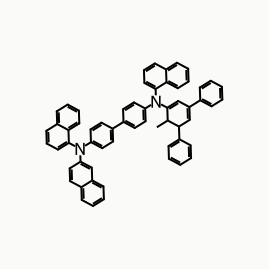 CC1C(N(c2ccc(-c3ccc(N(c4ccc5ccccc5c4)c4cccc5ccccc45)cc3)cc2)c2cccc3ccccc23)=CC(c2ccccc2)=CC1c1ccccc1